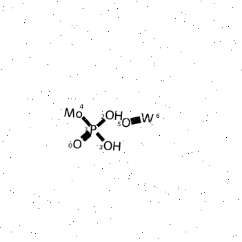 O=[P](O)(O)[Mo].[O]=[W]